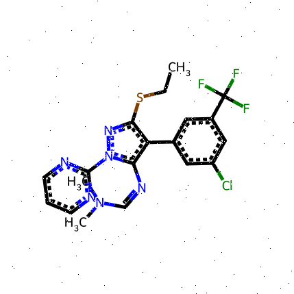 CCSc1nn(-c2ncccn2)c(/N=C\N(C)C)c1-c1cc(Cl)cc(C(F)(F)F)c1